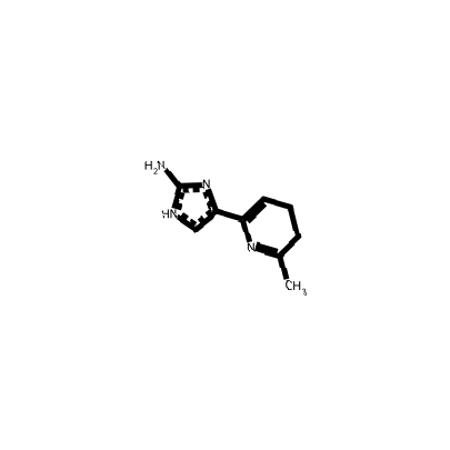 CC1=NC(c2c[nH]c(N)n2)=CCC1